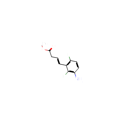 CC(C)(C)OC(=O)C/C=C/c1c(F)ccc(N)c1F